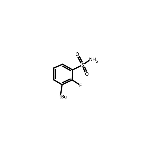 CC(C)(C)c1cccc(S(N)(=O)=O)c1F